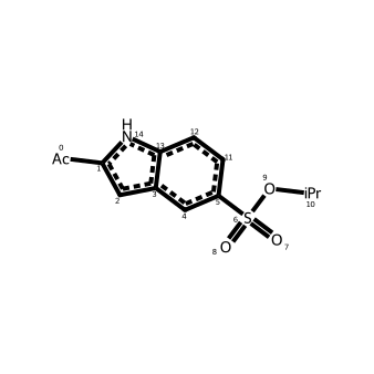 CC(=O)c1cc2cc(S(=O)(=O)OC(C)C)ccc2[nH]1